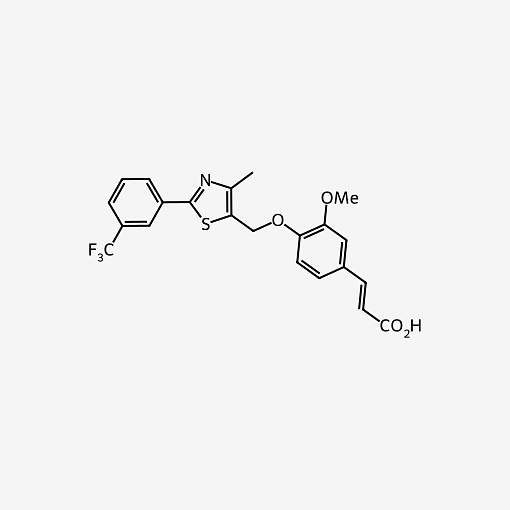 COc1cc(C=CC(=O)O)ccc1OCc1sc(-c2cccc(C(F)(F)F)c2)nc1C